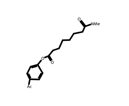 CNC(=O)CCCCCCC(=O)Oc1ccc(C(C)=O)cc1